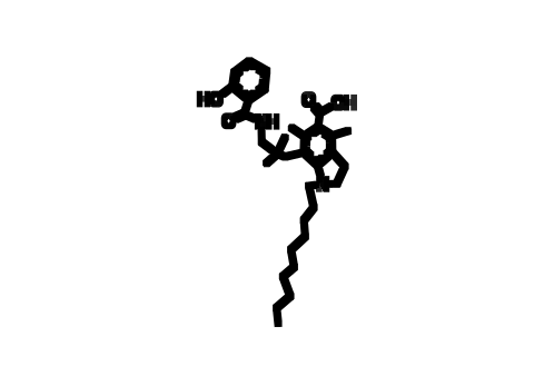 CCCCCCCCCCN1CCc2c(C)c(C(=O)O)c(C)c(CC(C)(C)CNC(=O)c3ccccc3O)c21